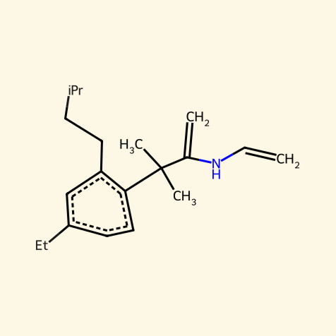 C=CNC(=C)C(C)(C)c1ccc(CC)cc1CCC(C)C